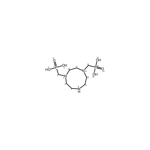 O=P(O)(O)CN1CCNCCN(CP(=O)(O)O)CC1